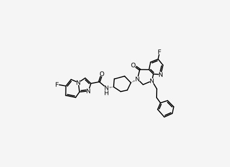 O=C(N[C@H]1CC[C@@H](N2CN(CCc3ccccc3)c3ncc(F)cc3C2=O)CC1)c1cn2cc(F)ccc2n1